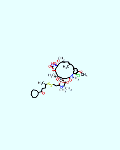 COc1cc2cc(c1Cl)N(C)C(=O)C[C@H](OC(=O)[C@H](C)N(C)C(=O)CCSSC(C)CCC(=O)C1CCCCCCC1)[C@@]1(C)O[C@H]1[C@H](C)[C@@H]1C[C@@](O)(NC(=O)O1)[C@H](OC)/C=C/C=C(\C)C2